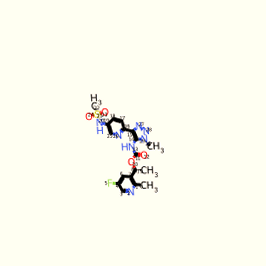 Cc1ncc(F)cc1[C@@H](C)OC(=O)Nc1c(-c2ccc(NS(C)(=O)=O)cn2)nnn1C